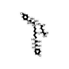 N=C(NCCCCCCNC(=N)NC(=N)Nc1ccc(Cl)cc1)NC(=N)Nc1ccc(Cl)cc1.N[C@@H](CCC(=O)O)C(=O)O